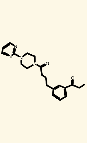 CCC(=O)c1cccc(CCCC(=O)N2CCN(c3ncccn3)CC2)c1